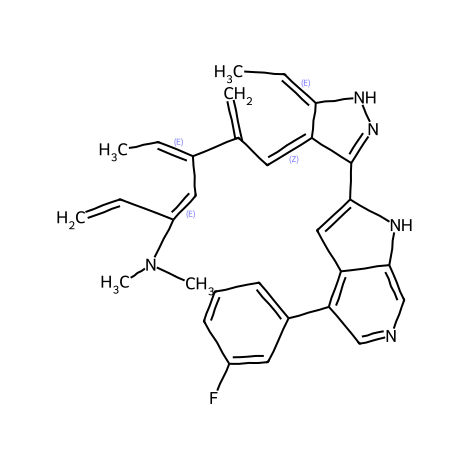 C=C/C(=C\C(=C/C)C(=C)/C=c1/c(-c2cc3c(-c4cccc(F)c4)cncc3[nH]2)n[nH]/c1=C/C)N(C)C